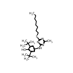 CCCCCCCCSc1nc(C)nc(Nc2cc(C(C)(C)C)c(O)c(C(C)(C)C)c2)n1